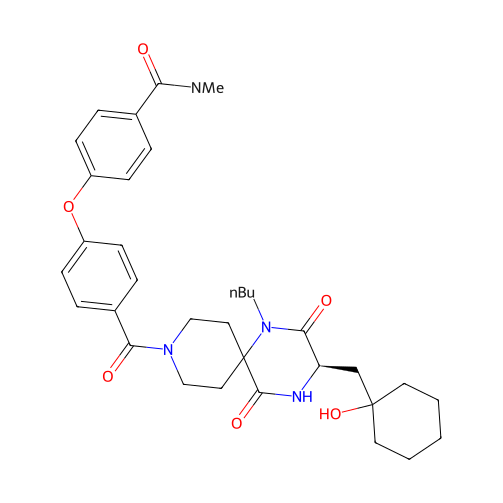 CCCCN1C(=O)[C@@H](CC2(O)CCCCC2)NC(=O)C12CCN(C(=O)c1ccc(Oc3ccc(C(=O)NC)cc3)cc1)CC2